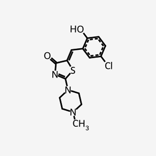 CN1CCN(C2=NC(=O)/C(=C/c3cc(Cl)ccc3O)S2)CC1